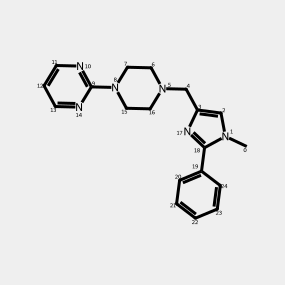 Cn1cc(CN2CCN(c3ncccn3)CC2)nc1-c1ccccc1